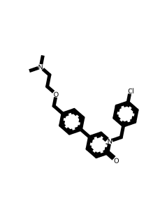 CN(C)CCOCc1ccc(-c2ccc(=O)n(Cc3ccc(Cl)cc3)c2)cc1